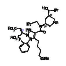 COCCCCC1=C(C(=O)N(CC(C)C)[C@@H]2CNC[C@H](C(O)C(C)C)C2)NN(/C(=C/C(=O)O)C(=O)O)N1c1ccccc1F